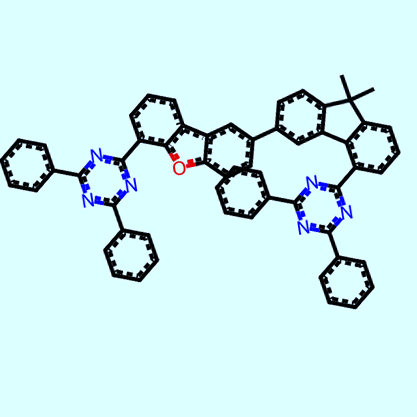 CC1(C)c2ccc(-c3ccc4oc5c(-c6nc(-c7ccccc7)nc(-c7ccccc7)n6)cccc5c4c3)cc2-c2c(-c3nc(-c4ccccc4)nc(-c4ccccc4)n3)cccc21